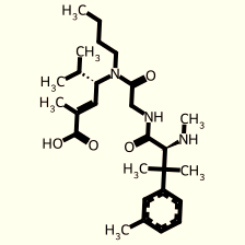 CCCCN(C(=O)CNC(=O)[C@@H](NC)C(C)(C)c1cccc(C)c1)[C@H](/C=C(\C)C(=O)O)C(C)C